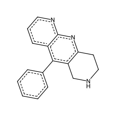 c1ccc(-c2c3c(nc4ncccc24)CCNC3)cc1